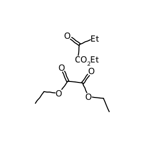 CCOC(=O)C(=O)CC.CCOC(=O)C(=O)OCC